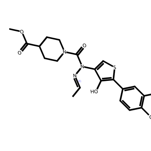 C/C=N/N(C(=O)N1CCC(C(=O)OC)CC1)c1csc(-c2ccc(Cl)c(Cl)c2)c1O